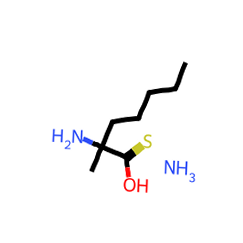 CCCCCC(C)(N)C(O)=S.N